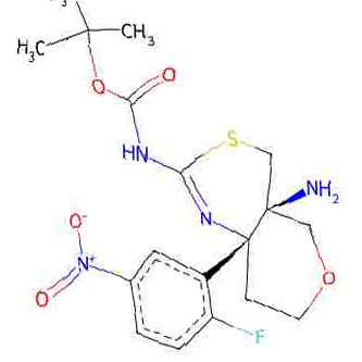 CC(C)(C)OC(=O)NC1=N[C@@]2(c3cc([N+](=O)[O-])ccc3F)CCOC[C@@]2(N)CS1